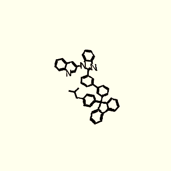 CC(C)Cc1ccc(C2(c3cccc(-c4cccc(-c5nc6ccccc6n5-c5cnc6ccccc6c5)c4)c3)c3ccccc3-c3ccccc32)cc1